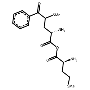 CSCC[C@H](N)C(=O)OC(=O)[C@@H](N)CC(SC)C(=O)c1ccccc1